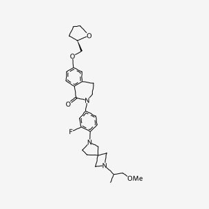 COCC(C)N1CC2(CCN(c3ccc(N4CCc5cc(OC[C@H]6CCCO6)ccc5C4=O)cc3F)C2)C1